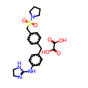 O=C(O)C(=O)O.O=S(=O)(Cc1ccc(Cc2ccc(NC3=NCCN3)cc2)cc1)N1CCCC1